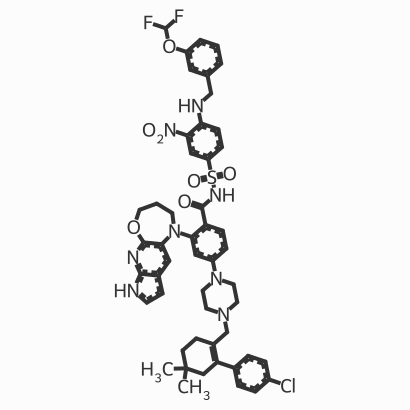 CC1(C)CCC(CN2CCN(c3ccc(C(=O)NS(=O)(=O)c4ccc(NCc5cccc(OC(F)F)c5)c([N+](=O)[O-])c4)c(N4CCCOc5nc6[nH]ccc6cc54)c3)CC2)=C(c2ccc(Cl)cc2)C1